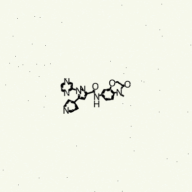 CN1C(=O)COc2cc(NC(=O)c3cc(-c4ccncc4)n(-c4cnccn4)n3)ccc21